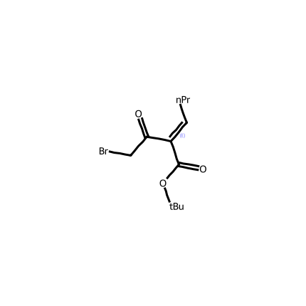 CCC/C=C(\C(=O)CBr)C(=O)OC(C)(C)C